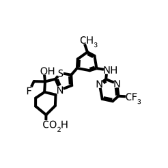 Cc1cc(Nc2nccc(C(F)(F)F)n2)cc(-c2cnc(C(O)(CF)C3CCC(C(=O)O)CC3)s2)c1